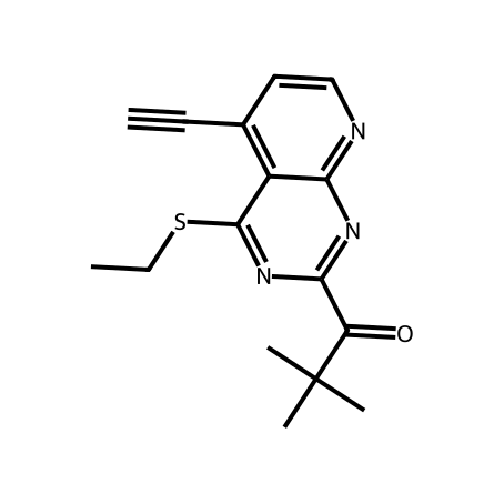 C#Cc1ccnc2nc(C(=O)C(C)(C)C)nc(SCC)c12